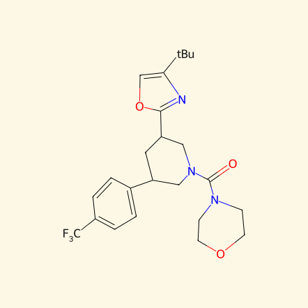 CC(C)(C)c1coc(C2CC(c3ccc(C(F)(F)F)cc3)CN(C(=O)N3CCOCC3)C2)n1